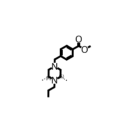 CCCN1[C@H](C)CN(Cc2ccc(C(=O)OC)cc2)C[C@@H]1C